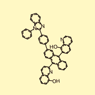 Oc1cccc2ccc(-c3c4ccccc4c(-c4ccc5cccnc5c4O)c4cc(-c5ccc(-c6nc7ccccc7n6-c6ccccc6)cc5)ccc34)nc12